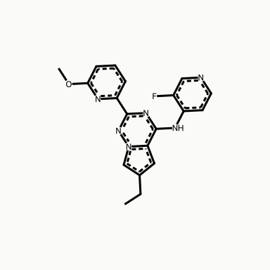 CCc1cc2c(Nc3ccncc3F)nc(-c3cccc(OC)n3)nn2c1